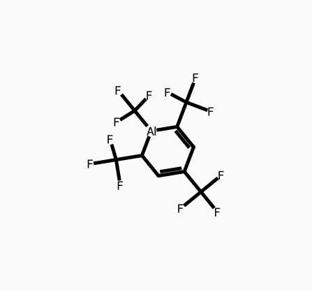 FC(F)(F)C1=C[CH](C(F)(F)F)[Al]([C](F)(F)F)[C](C(F)(F)F)=C1